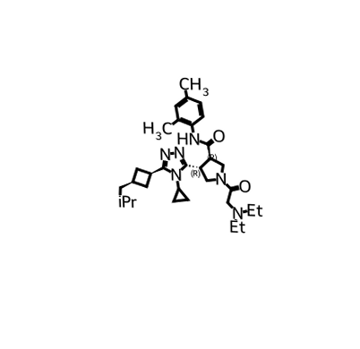 CCN(CC)CC(=O)N1C[C@H](C(=O)Nc2ccc(C)cc2C)[C@@H](c2nnc([C@H]3C[C@@H](CC(C)C)C3)n2C2CC2)C1